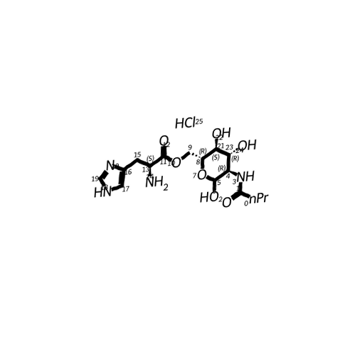 CCCC(=O)N[C@H]1C(O)O[C@H](COC(=O)[C@@H](N)Cc2c[nH]cn2)[C@@H](O)[C@@H]1O.Cl